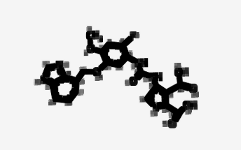 COc1cc(F)c(NC(=O)Nc2csc(C(=O)O)c2C(=O)O)cc1OCc1cccc2scnc12